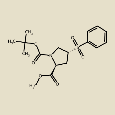 COC(=O)[C@@H]1C[C@@H](S(=O)(=O)c2ccccc2)CN1C(=O)OC(C)(C)C